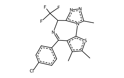 Cc1sc2c(c1C)C(c1ccc(Cl)cc1)=NC(C(F)(F)F)c1nnc(C)n1-2